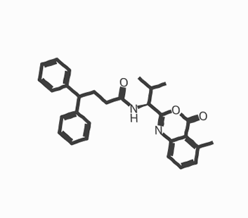 Cc1cccc2nc([C@@H](NC(=O)CCC(c3ccccc3)c3ccccc3)C(C)C)oc(=O)c12